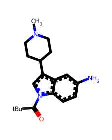 CN1CCC(c2cn(C(=O)C(C)(C)C)c3ccc(N)cc23)CC1